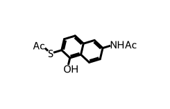 CC(=O)Nc1ccc2c(O)c(SC(C)=O)ccc2c1